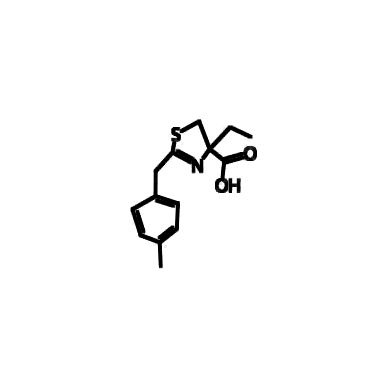 CCC1(C(=O)O)CSC(Cc2ccc(C)cc2)=N1